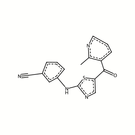 Cc1ncccc1C(=O)c1cnc(Nc2cccc(C#N)c2)s1